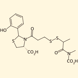 CC(SSCCC(=O)N1C(c2ccccc2O)SC[C@H]1C(=O)O)C(=O)N(C)C(=O)O